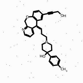 Cc1ccc(C2(O)CCN(CC/C=C3/c4cc(C#CCO)ccc4OCc4ncccc43)CC2)cc1